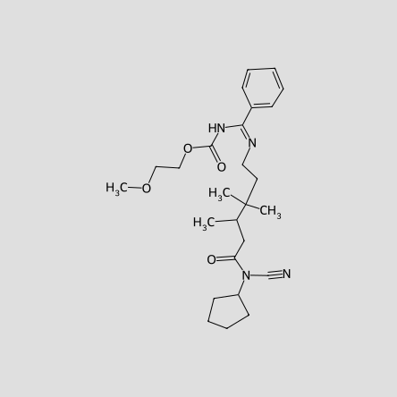 COCCOC(=O)NC(=NCCC(C)(C)C(C)CC(=O)N(C#N)C1CCCC1)c1ccccc1